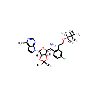 Cc1ncnc2c1ccn2[C@@H]1O[C@H]([C@H](N)c2ccc(Cl)cc2CCO[Si](C)(C)C(C)(C)C)[C@H]2OC(C)(C)O[C@H]21